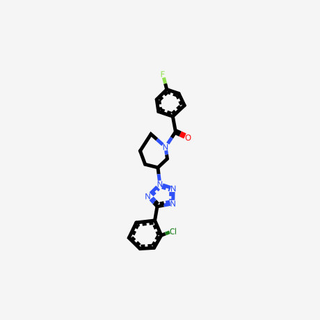 O=C(c1ccc(F)cc1)N1CCCC(n2nnc(-c3ccccc3Cl)n2)C1